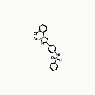 CC(=O)N1N=C(c2ccc(NS(=O)(=O)c3ccccc3)cc2)CC1c1ccccc1Cl